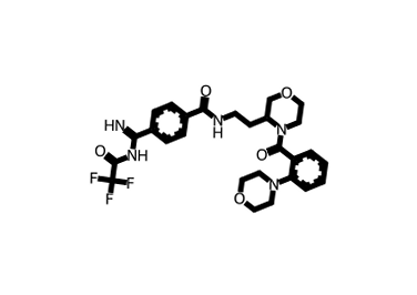 N=C(NC(=O)C(F)(F)F)c1ccc(C(=O)NCCC2COCCN2C(=O)c2ccccc2N2CCOCC2)cc1